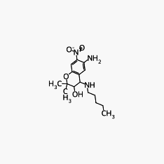 CCCCCNC1c2cc(N)c([N+](=O)[O-])cc2OC(C)(C)C1O